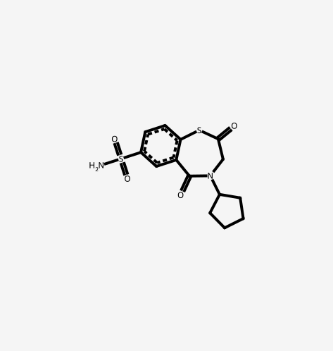 NS(=O)(=O)c1ccc2c(c1)C(=O)N(C1CCCC1)CC(=O)S2